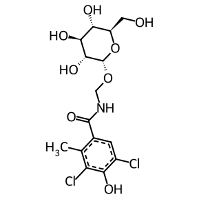 Cc1c(C(=O)NCO[C@H]2O[C@H](CO)[C@@H](O)[C@H](O)[C@H]2O)cc(Cl)c(O)c1Cl